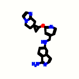 Nc1nccc2cc(NCc3ccnc(OC4CC45CCn4ccnc4C5)c3)ccc12